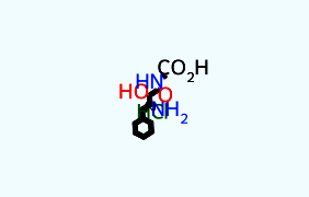 Cl.N[C@H](CC1CCCCC1)C(O)C(=O)NCC(=O)O